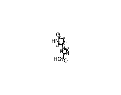 O=C(O)c1ncn(-c2ccc(=O)[nH]c2)n1